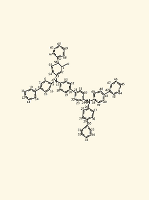 CC1C=C(N(c2ccc(-c3ccccc3)cc2)c2ccc(-c3ccc(N(c4ccc(-c5ccccc5)cc4)c4ccc(-c5ccccc5)cc4)cc3)cc2)C=CC1c1ccccc1